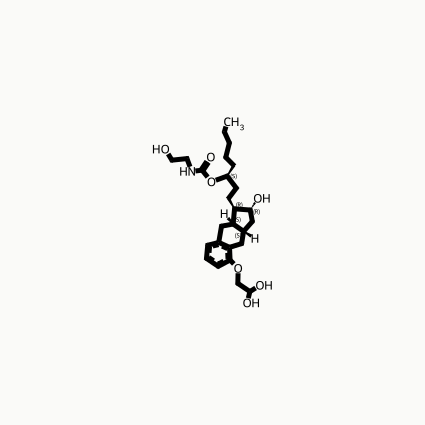 CCCCC[C@@H](CC[C@@H]1[C@H]2Cc3cccc(OCC(O)O)c3C[C@H]2C[C@H]1O)OC(=O)NCCO